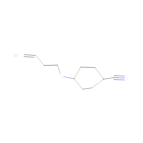 C=CCCNC1CCC(C#N)CC1